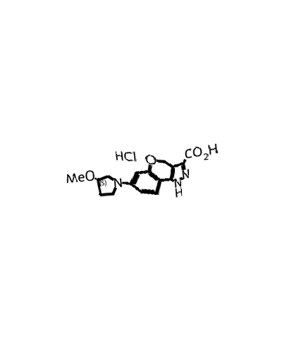 CO[C@H]1CCN(c2ccc3c(c2)OCc2c(C(=O)O)n[nH]c2-3)C1.Cl